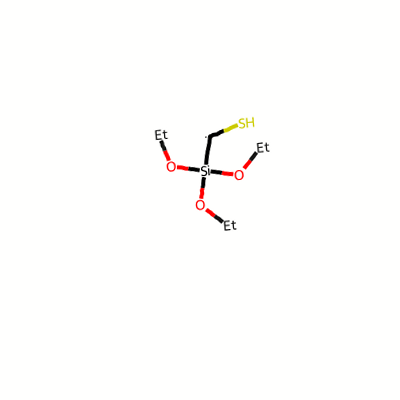 CCO[Si]([CH]S)(OCC)OCC